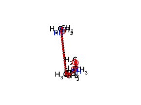 C=CC(=O)OCCCC[N+](C)(C)CC(=O)NCCCC[Si](C)(C)O[Si](C)(C)CCCCCCCCCCCCCCCCCCCCCCCCCCCCCCCCCCNC(=O)C[N+](C)(C)CC